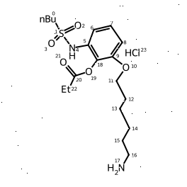 CCCCS(=O)(=O)Nc1cccc(OCCCCCCN)c1OC(=O)CC.Cl